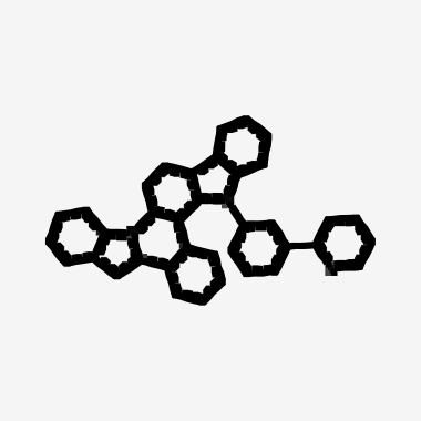 c1ccc(-c2cccc(-n3c4ccccc4c4ccc5c(c6ccccc6c6cc7ccccc7n65)c43)c2)nc1